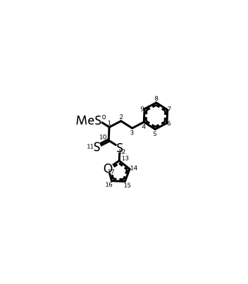 CSC(CCc1ccccc1)C(=S)Sc1ccco1